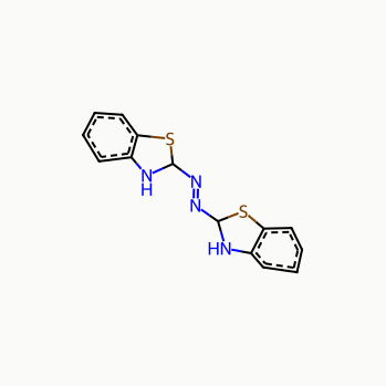 c1ccc2c(c1)NC(N=NC1Nc3ccccc3S1)S2